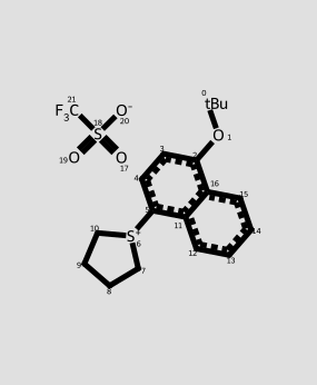 CC(C)(C)Oc1ccc([S+]2CCCC2)c2ccccc12.O=S(=O)([O-])C(F)(F)F